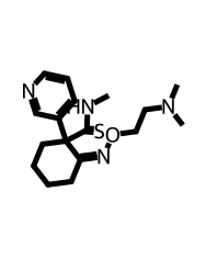 CNC(=S)C1(c2cccnc2)CCCC/C1=N/OCCN(C)C